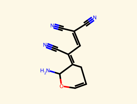 N#CC(C#N)=CC(C#N)=C1CC=COC1N